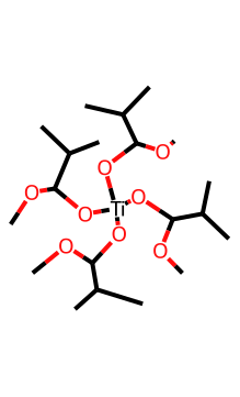 COC([O][Ti]([O]C(OC)C(C)C)([O]C(OC)C(C)C)[O]C(OC)C(C)C)C(C)C